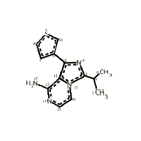 CC(C)c1nc(-c2ccsc2)c2c(N)nccn12